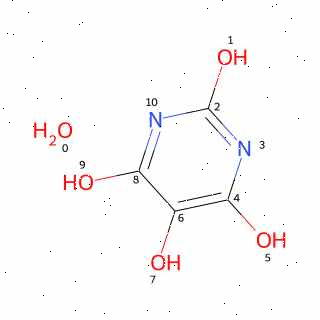 O.Oc1nc(O)c(O)c(O)n1